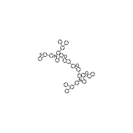 c1ccc(-c2ccc(-c3ccc(N(c4ccc(-c5ccc6oc7cc(-c8ccc9c(ccc%10c9oc9cccc(-c%11ccccc%11N(c%11ccc(-c%12ccc(-c%13ccccc%13)c(-c%13ccccc%13)c%12)cc%11)c%11ccc(-c%12ccc%13sc%14ccccc%14c%13c%12)cc%11)c9%10)c8)ccc7c6c5)cc4)c4ccccc4-c4cccc5oc6c7ccccc7ccc6c45)cc3)cc2-c2ccccc2)cc1